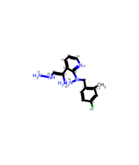 Cc1cc(F)ccc1CN(N)c1ncccc1/C(N)=C/NN